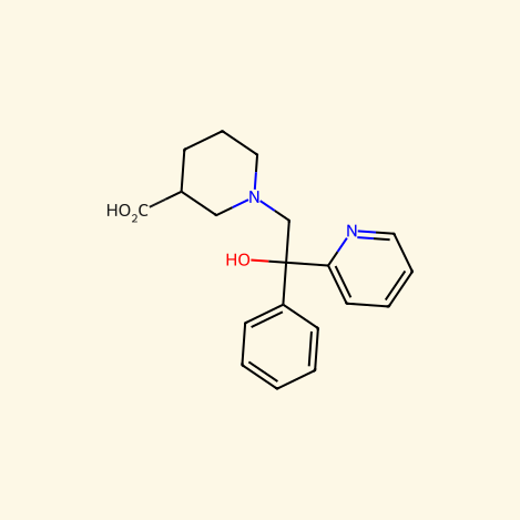 O=C(O)C1CCCN(CC(O)(c2ccccc2)c2ccccn2)C1